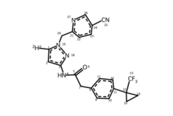 [2H]c1cc(NC(=O)Cc2ccc(C3(C(F)(F)F)CC3)cc2)nn1Cc1ccc(C#N)cn1